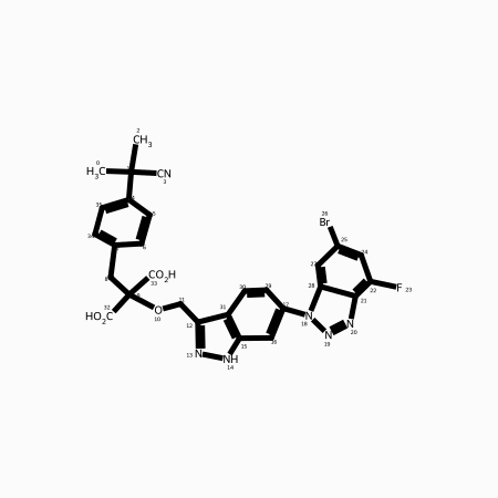 CC(C)(C#N)c1ccc(CC(OCc2n[nH]c3cc(-n4nnc5c(F)cc(Br)cc54)ccc23)(C(=O)O)C(=O)O)cc1